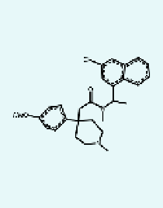 COc1ccc(C2(CC(=O)N(C)C(C)c3cc(Cl)cc4ccccc34)CCN(C)CC2)cc1